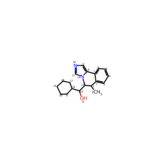 CC1c2ccccc2-c2cncn2C1C(O)C1CCCCC1